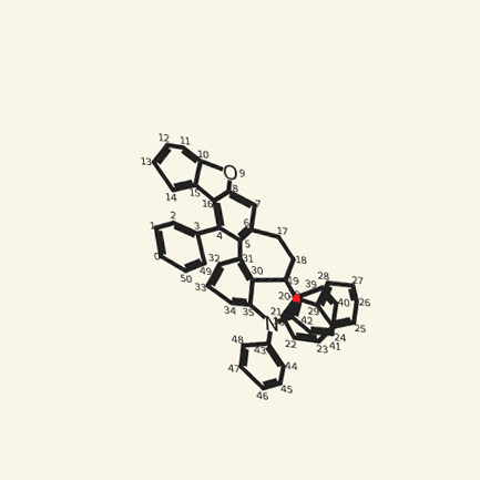 c1ccc(-c2c3c(cc4oc5ccccc5c24)CCC(c2cccc4ccccc24)c2c-3cccc2N(c2ccccc2)c2ccccc2)cc1